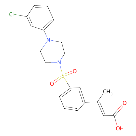 C/C(=C\C(=O)O)c1cccc(S(=O)(=O)N2CCN(c3cccc(Cl)c3)CC2)c1